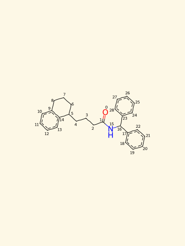 O=C(CCCC1CCCc2ccccc21)NC(c1ccccc1)c1ccccc1